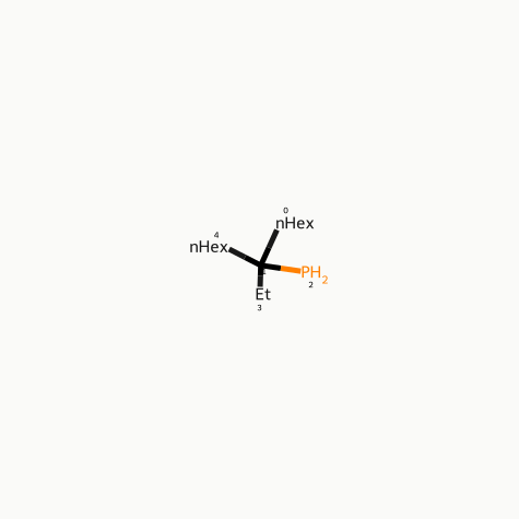 CCCCCCC(P)(CC)CCCCCC